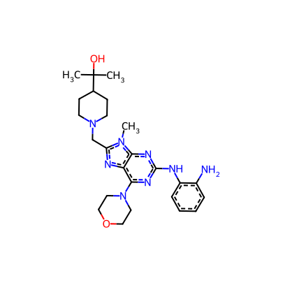 Cn1c(CN2CCC(C(C)(C)O)CC2)nc2c(N3CCOCC3)nc(Nc3ccccc3N)nc21